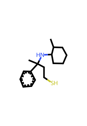 CC1CCCCC1NC(C)(CCS)c1ccccc1